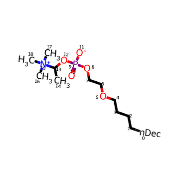 CCCCCCCCCCCCCCOCCOP(=O)([O-])OC(C)[N+](C)(C)C